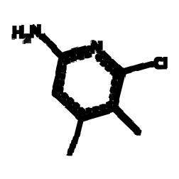 Cc1cc(N)nc(Cl)c1C